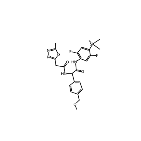 COCc1ccc(C(NC(=O)Cc2nnc(C)o2)C(=O)Nc2cc(F)c([Si](C)(C)C)cc2F)cc1